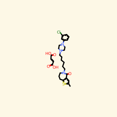 Cc1cc2c(s1)CCCN(CCCCCCN1CCN(c3cccc(Cl)c3)CC1)C2=O.O=C(O)C=CC(=O)O